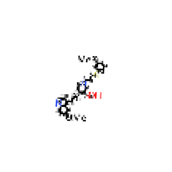 COc1cccc(SCCCN2CC[C@@H](CCCc3ccnc4ccc(OC)cc34)[C@@H](CO)C2)c1